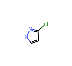 ClC1=N[N]C=C1